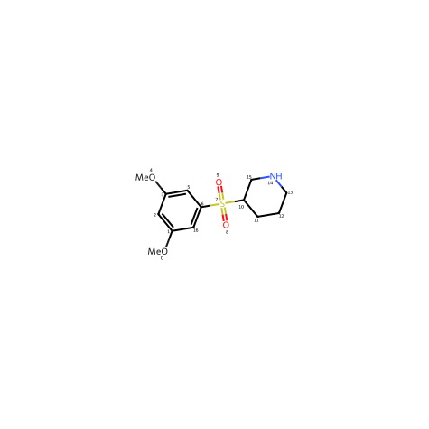 COc1cc(OC)cc(S(=O)(=O)C2CCCNC2)c1